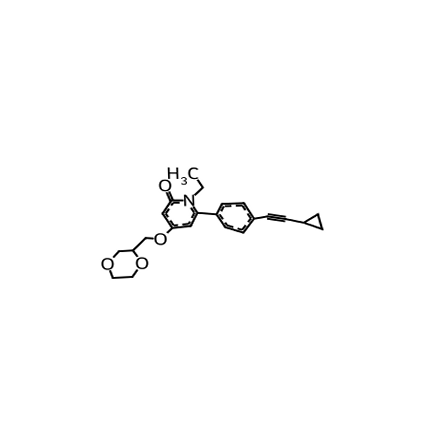 CCn1c(-c2ccc(C#CC3CC3)cc2)cc(OCC2COCCO2)cc1=O